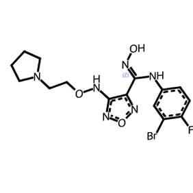 O/N=C(\Nc1ccc(F)c(Br)c1)c1nonc1NOCCN1CCCC1